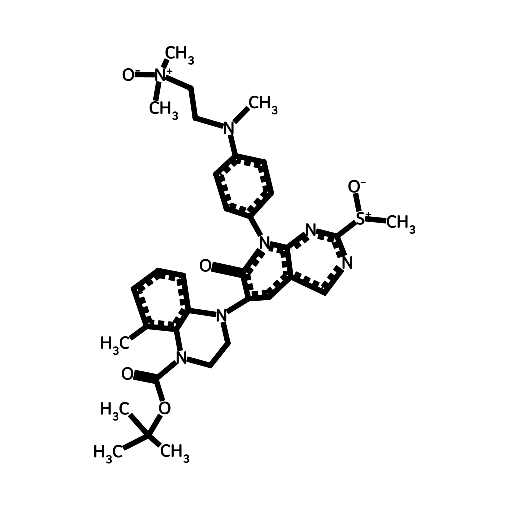 Cc1cccc2c1N(C(=O)OC(C)(C)C)CCN2c1cc2cnc([S+](C)[O-])nc2n(-c2ccc(N(C)CC[N+](C)(C)[O-])cc2)c1=O